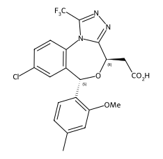 COc1cc(C)ccc1[C@H]1O[C@H](CC(=O)O)c2nnc(C(F)(F)F)n2-c2ccc(Cl)cc21